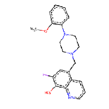 COc1ccccc1N1CCN(Cc2cc(I)c(O)c3ncccc23)CC1